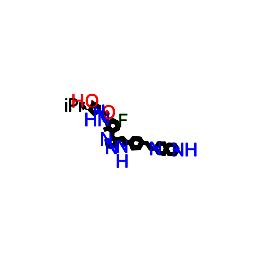 Cc1c(NC(=O)N2C[C@H](CC(C)C)[C@@H](O)C2)cc(F)cc1-c1ncnc2[nH]c(-c3ccc(CCN4CCC5(CCNCC5)CC4)cc3)cc12